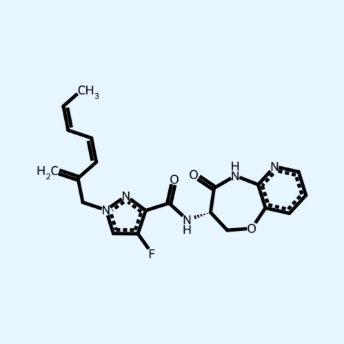 C=C(/C=C\C=C/C)Cn1cc(F)c(C(=O)N[C@H]2COc3cccnc3NC2=O)n1